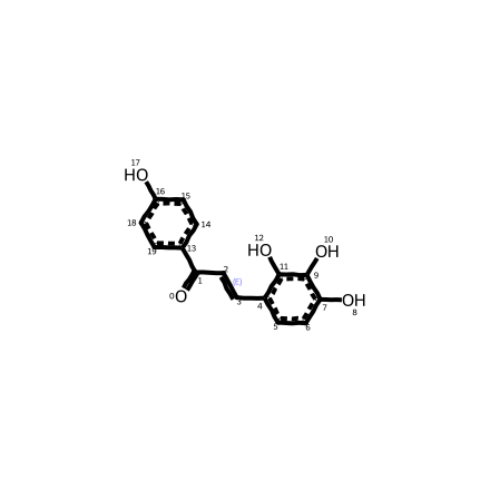 O=C(/C=C/c1ccc(O)c(O)c1O)c1ccc(O)cc1